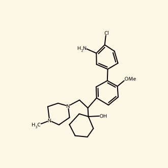 COc1ccc(C(CN2CCN(C)CC2)C2(O)CCCCC2)cc1-c1ccc(Cl)c(N)c1